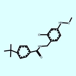 CSNc1ccc(CNC(=O)c2ccc(C(C)(C)C)cc2)c(Cl)c1